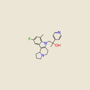 Cc1cc(F)cc2c3c(n(CC(C)(O)c4ccncc4)c12)CCN1CCCC31